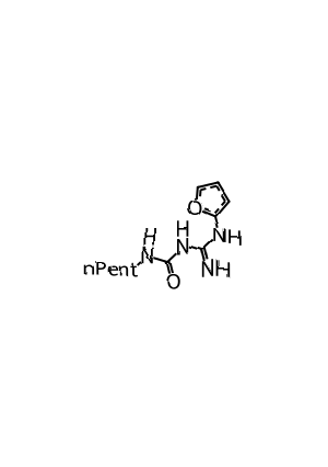 CCCCCNC(=O)NC(=N)Nc1ccco1